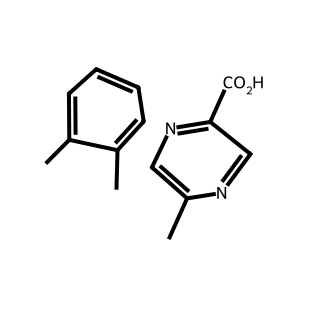 Cc1ccccc1C.Cc1cnc(C(=O)O)cn1